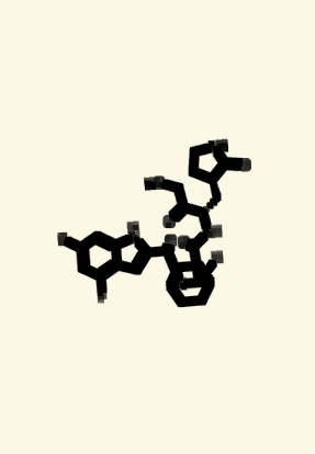 O=C1NCC[C@@H]1C[C@H](NC(=O)[C@@H]1C2CCC(CC2)N1C(=O)c1cc2c(F)cc(F)cc2[nH]1)C(=O)CO